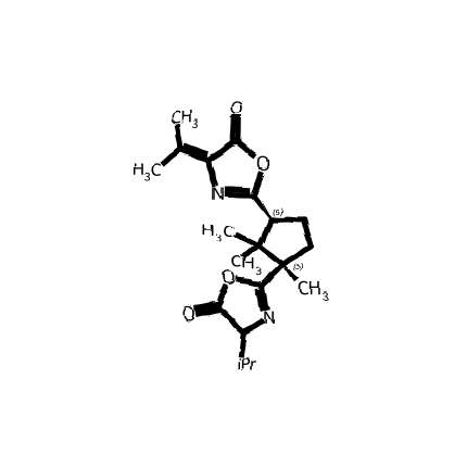 CC(C)=C1N=C([C@H]2CC[C@](C)(C3=NC(C(C)C)C(=O)O3)C2(C)C)OC1=O